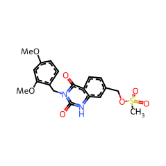 COc1ccc(Cn2c(=O)[nH]c3cc(COS(C)(=O)=O)ccc3c2=O)c(OC)c1